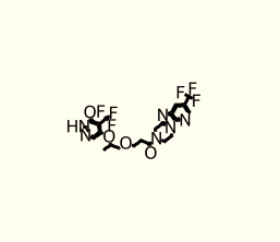 CC(COCCC(=O)N1CCn2c(nc3cc(C(F)(F)F)cnc32)C1)Oc1cn[nH]c(=O)c1C(F)(F)F